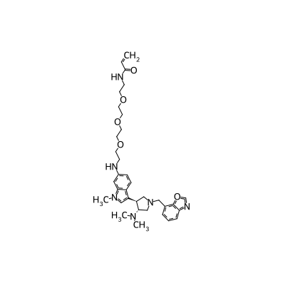 C=CC(=O)NCCOCCOCCOCCNc1ccc2c([C@H]3CN(Cc4cccc5ncoc45)C[C@@H]3N(C)C)cn(C)c2c1